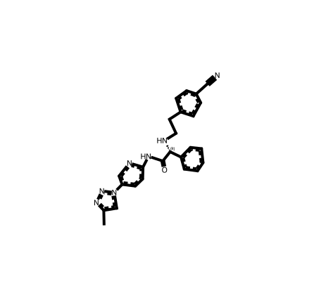 Cc1cn(-c2ccc(NC(=O)[C@H](NCCc3ccc(C#N)cc3)c3ccccc3)nc2)nn1